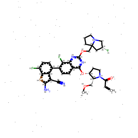 C=CC(=O)N1CC[C@@H](Oc2nc(OCC34CCCN3C[C@H](F)C4)nc3c(F)c(-c4ccc(F)c5sc(N)c(C#N)c45)ccc23)[C@H]1COC